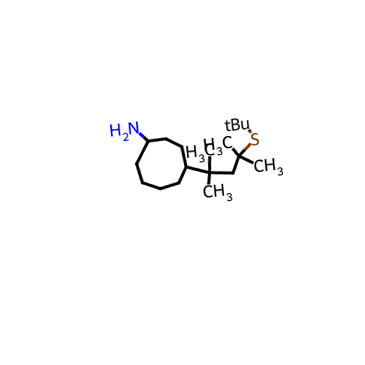 CC(C)(C)SC(C)(C)CC(C)(C)C1CCCCC(N)CC1